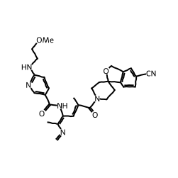 C=N/C(C)=C(\C=C(/C)C(=O)N1CCC2(CC1)OCc1cc(C#N)ccc12)NC(=O)c1ccc(NCCOC)nc1